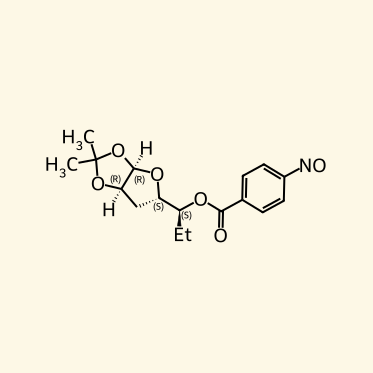 CC[C@H](OC(=O)c1ccc(N=O)cc1)[C@@H]1C[C@H]2OC(C)(C)O[C@H]2O1